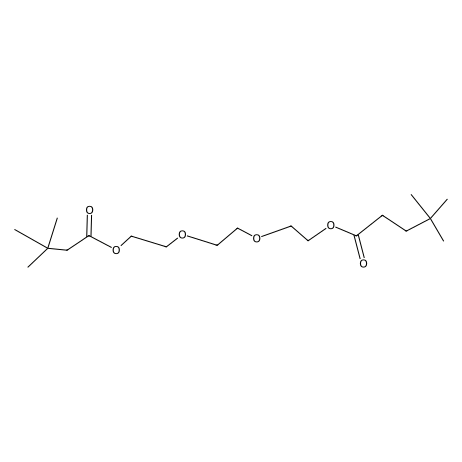 CC(C)(C)CCC(=O)OCCOCCOCCOC(=O)CC(C)(C)C